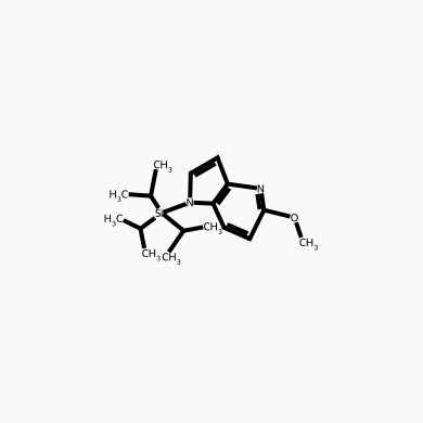 COc1ccc2c(ccn2[Si](C(C)C)(C(C)C)C(C)C)n1